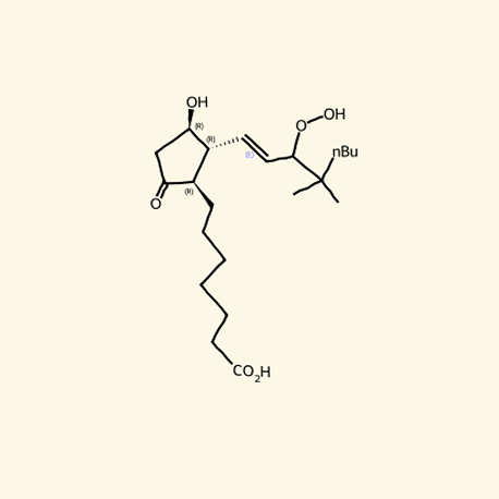 CCCCC(C)(C)C(/C=C/[C@H]1[C@H](O)CC(=O)[C@@H]1CCCCCCC(=O)O)OO